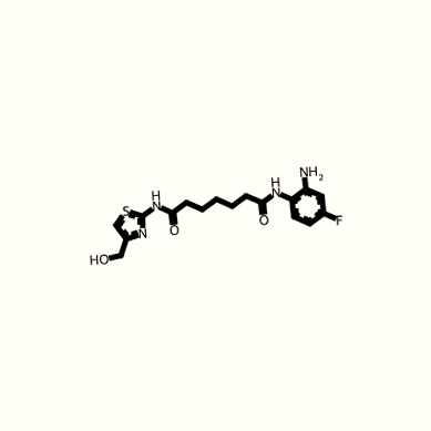 Nc1cc(F)ccc1NC(=O)CCCCCC(=O)Nc1nc(CO)cs1